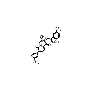 Cc1cn(-c2ccc3n(c2=O)C[C@@H](C)N(Cc2c[nH]c4ccc(C(F)(F)F)cc24)C3=O)cn1